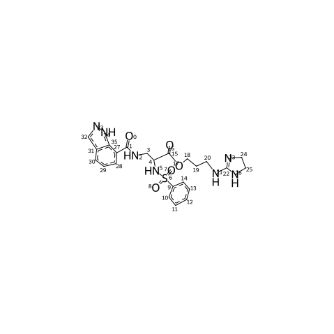 O=C(NCC(NS(=O)(=O)c1ccccc1)C(=O)OCCCNC1=NCCN1)c1cccc2cn[nH]c12